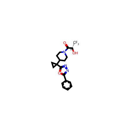 O=C([C@@H](O)C(F)(F)F)N1CCC(C2(c3nnc(-c4ccccc4)o3)CC2)CC1